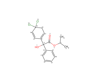 CC(C)OC(=O)C(O)(C1=CCC(Cl)(Cl)C=C1)c1ccccc1